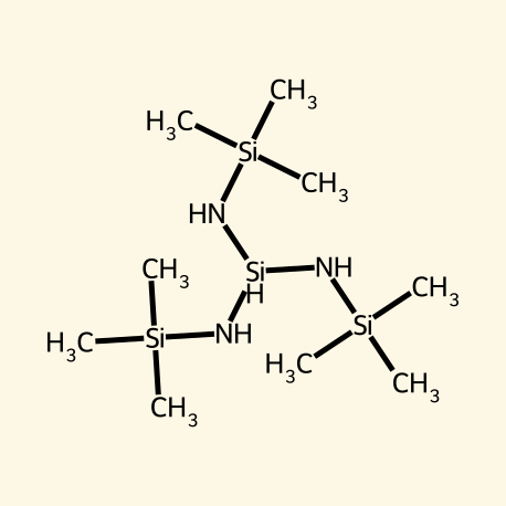 C[Si](C)(C)N[SiH](N[Si](C)(C)C)N[Si](C)(C)C